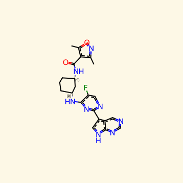 Cc1noc(C)c1C(=O)N[C@H]1CCC[C@@H](Nc2nc(-c3c[nH]c4ncncc34)ncc2F)C1